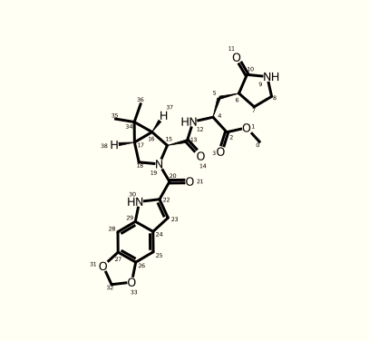 COC(=O)[C@H](C[C@@H]1CCNC1=O)NC(=O)[C@@H]1[C@@H]2[C@H](CN1C(=O)c1cc3cc4c(cc3[nH]1)OCO4)C2(C)C